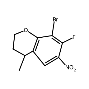 CC1CCOc2c1cc([N+](=O)[O-])c(F)c2Br